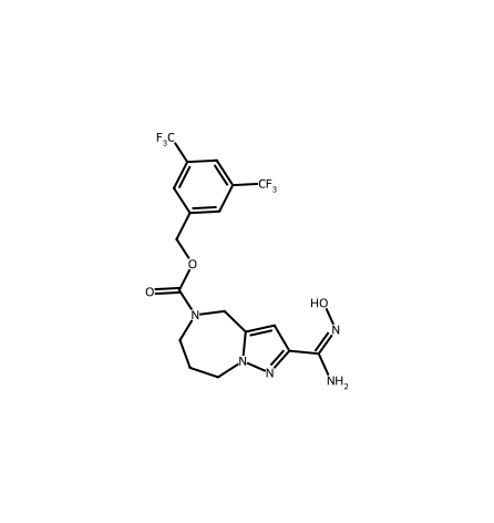 N/C(=N/O)c1cc2n(n1)CCCN(C(=O)OCc1cc(C(F)(F)F)cc(C(F)(F)F)c1)C2